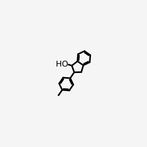 Cc1ccc(C2Cc3ccccc3C2O)cc1